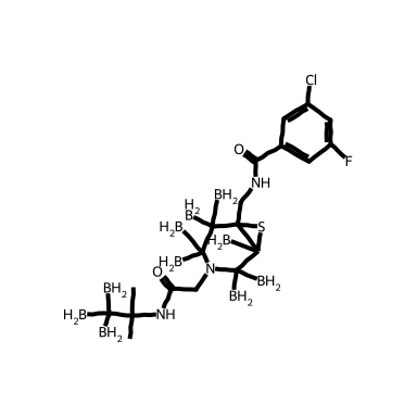 BC(B)(B)C(C)(C)NC(=O)CN1C(B)(B)C(B)(B)C2(CNC(=O)c3cc(F)cc(Cl)c3)SC2(B)C1(B)B